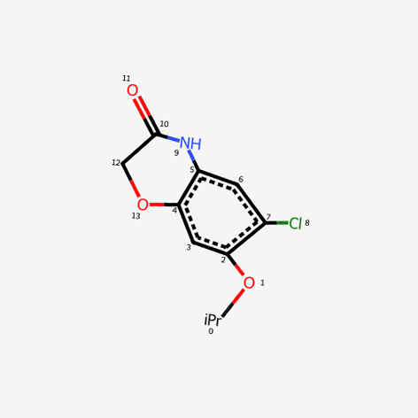 CC(C)Oc1cc2c(cc1Cl)NC(=O)CO2